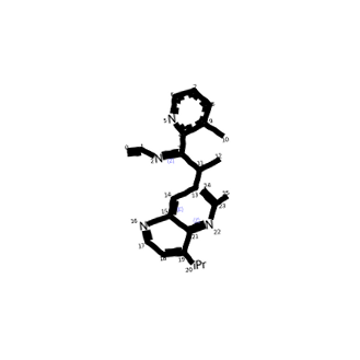 C=C/N=C(\c1ncccc1C)C(C)C/C=C1/N=CC=C(C(C)C)/C1=N/C(=C)C